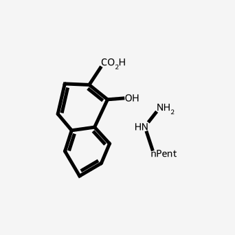 CCCCCNN.O=C(O)c1ccc2ccccc2c1O